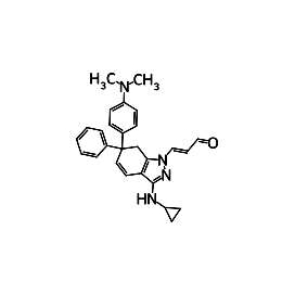 CN(C)c1ccc(C2(c3ccccc3)C=Cc3c(NC4CC4)nn(C=CC=O)c3C2)cc1